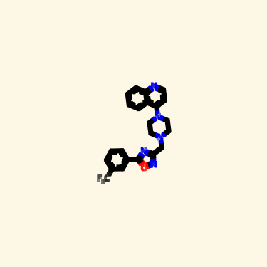 FC(F)(F)c1cccc(-c2nc(CN3CCN(c4ccnc5ccccc45)CC3)no2)c1